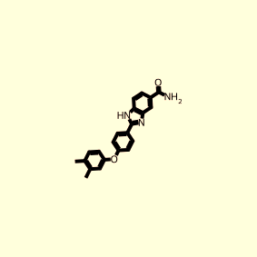 Cc1ccc(Oc2ccc(-c3nc4cc(C(N)=O)ccc4[nH]3)cc2)cc1C